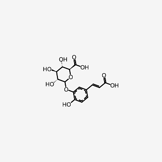 O=C(O)C=Cc1ccc(O)c(OC2O[C@H](C(=O)O)[C@@H](O)[C@H](O)[C@H]2O)c1